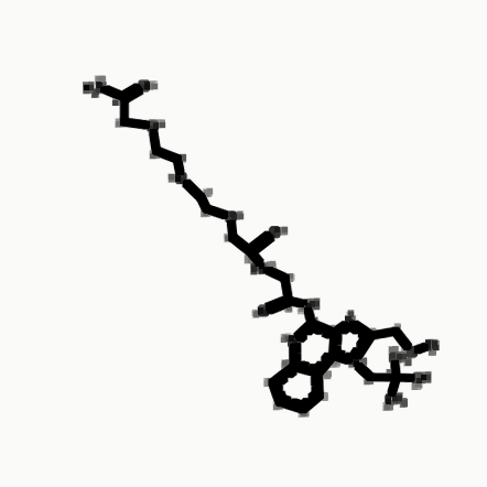 CCOCc1nc2c(NC(=O)CNC(=O)COCCOCCOCC(N)=O)nc3ccccc3c2n1CC(C)(C)O